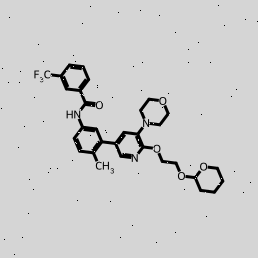 Cc1ccc(NC(=O)c2cccc(C(F)(F)F)c2)cc1-c1cnc(OCCOC2CCCCO2)c(N2CCOCC2)c1